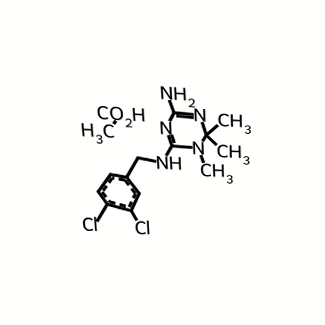 CC(=O)O.CN1C(NCc2ccc(Cl)c(Cl)c2)=NC(N)=NC1(C)C